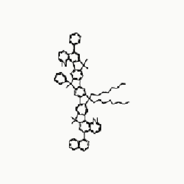 CCCCCCCCC1(CCCCCCCC)c2cc3c(cc2-c2cc4c(cc21)-c1cc2c(cc1C4(C)c1ccccc1)-c1c(cc(-c4ccccc4)c4cccnc14)C2(C)C)C(C)(C)c1cc(-c2cccc4ccccc24)c2cccnc2c1-3